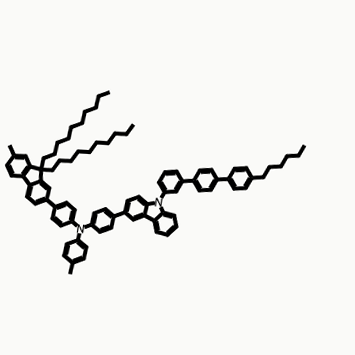 CCCCCCCCCCC1(CCCCCCCCCC)c2cc(C)ccc2-c2ccc(-c3ccc(N(c4ccc(C)cc4)c4ccc(-c5ccc6c(c5)c5ccccc5n6-c5cccc(-c6ccc(-c7ccc(CCCCCC)cc7)cc6)c5)cc4)cc3)cc21